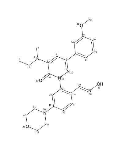 CCN(C)c1cc(-c2cccc(OC)c2)nn(-c2cc(N3CCOCC3)ccc2C=NO)c1=O